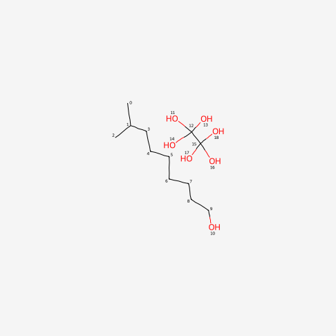 CC(C)CCCCCCCO.OC(O)(O)C(O)(O)O